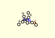 CC(C)(C)c1ccc(Nc2cc3c(cc2-c2ccc4c5cc6c(cc5n5c4c2Bc2cc4c(cc2-5)C(C)(C)c2ccccc2-4)sc2ccccc26)-c2ccccc2C3(C)C)cc1